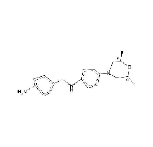 C[C@@H]1CN(c2ccc(NCc3ccc(N)cc3)cc2)C[C@@H](C)O1